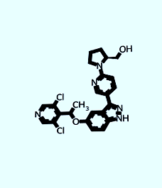 CC(Oc1ccc2[nH]nc(-c3ccc(N4CCC[C@H]4CO)nc3)c2c1)c1c(Cl)cncc1Cl